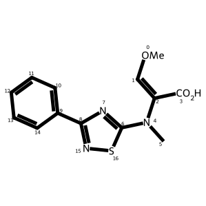 COC=C(C(=O)O)N(C)c1nc(-c2ccccc2)ns1